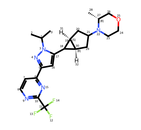 CC(C)n1nc(-c2ccnc(C(F)(F)F)n2)cc1C1[C@H]2CC(N3CCOC[C@H]3C)C[C@@H]12